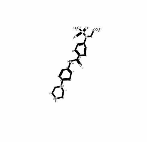 CS(=O)(=O)N(CC(=O)O)c1ccc(C(=O)Nc2ccc(N3CCNCC3)cc2)cc1